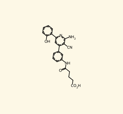 N#Cc1c(-c2cccc(NC(=O)CCCC(=O)O)c2)cc(-c2ccccc2O)nc1N